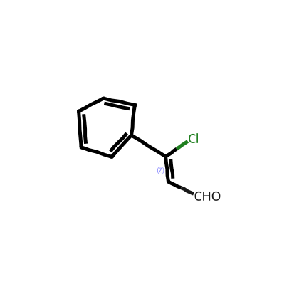 O=C/C=C(\Cl)c1ccccc1